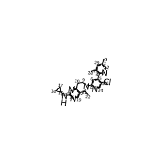 Cc1cnc(-c2cc(N3CCc4nc(NC5CC5)ncc4C3C)ncc2Cl)c(C)c1